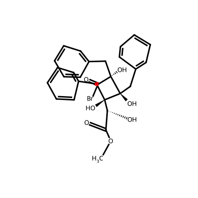 COC(=O)[C@@H](O)[C@](O)(Cc1ccccc1)[C@@](O)(Cc1ccccc1)[C@](O)(Cc1ccccc1)C(=O)Br